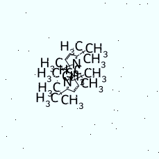 CC(C)(C)C1=N[C]([Sr][C]2(C(C)(C)C)C=CC(C(C)(C)C)=N2)(C(C)(C)C)C=C1